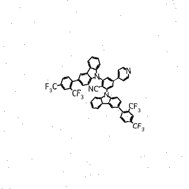 N#Cc1c(-n2c3ccccc3c3cc(-c4ccc(C(F)(F)F)cc4C(F)(F)F)ccc32)cc(-c2ccncc2)cc1-n1c2ccccc2c2cc(-c3ccc(C(F)(F)F)cc3C(F)(F)F)ccc21